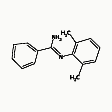 Cc1cccc(C)c1N=C(N)c1ccccc1